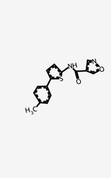 Cc1ccc(-c2ccc(NC(=O)c3cnoc3)s2)cc1